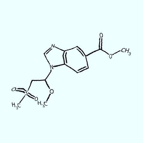 COC(=O)c1ccc2c(c1)ncn2C(CS(C)(=O)=O)OC